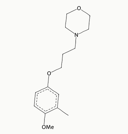 COc1ccc(OCCCN2CCOCC2)cc1C